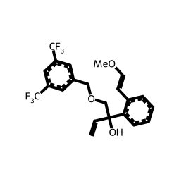 C=CC(O)(COCc1cc(C(F)(F)F)cc(C(F)(F)F)c1)c1ccccc1/C=C/OC